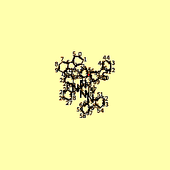 c1ccc2c(c1)-c1ccccc1C21c2ccccc2-c2c1ccc1c3ccccc3n(-c3nc(-c4ccc5c(c4)sc4ccccc45)nc(-n4c5ccccc5c5ccccc54)n3)c21